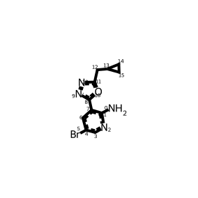 Nc1ncc(Br)cc1-c1nnc(CC2CC2)o1